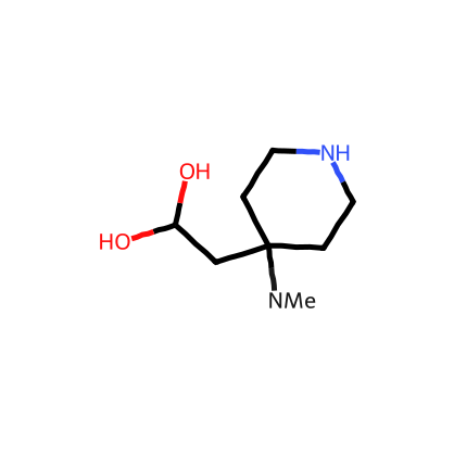 CNC1(CC(O)O)CCNCC1